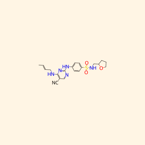 CC=CCNc1nc(Nc2ccc(S(=O)(=O)NCC3CCCO3)cc2)ncc1C#N